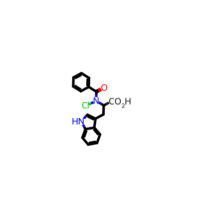 O=C(O)C(Cc1c[nH]c2ccccc12)N(Cl)C(=O)c1ccccc1